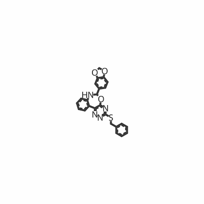 c1ccc(CSc2nnc3c(n2)OC(c2ccc4c(c2)OCO4)Nc2ccccc2-3)cc1